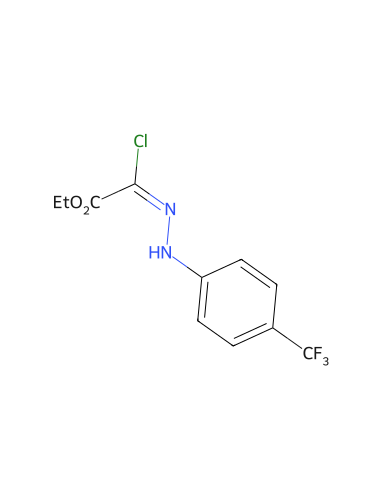 CCOC(=O)/C(Cl)=N\Nc1ccc(C(F)(F)F)cc1